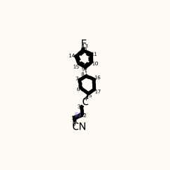 N#C/C=C/CC[C@H]1CC[C@H](c2ccc(F)cc2)CC1